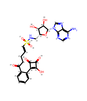 Nc1ncnc2c1ncn2[C@@H]1O[C@H](CNS(=O)(=O)/C=C/CCC(=O)c2ccccc2-c2c(O)c(=O)c2=O)[C@@H](O)[C@H]1O